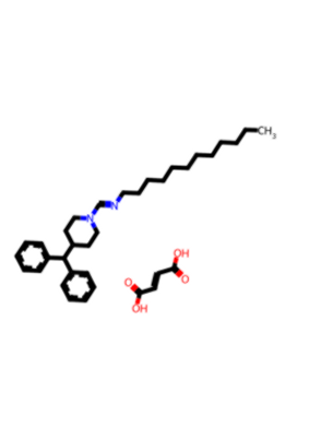 CCCCCCCCCCCCN=CN1CCC(C(c2ccccc2)c2ccccc2)CC1.O=C(O)C=CC(=O)O